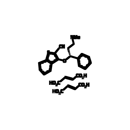 CNCC[C@@H](Oc1c(C#N)sc2ccccc12)c1ccccc1.O=C(O)/C=C/C(=O)O.O=C(O)/C=C/C(=O)O